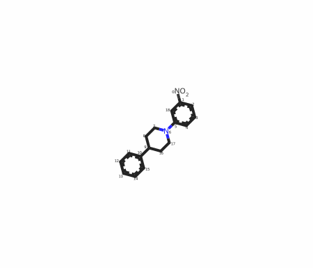 O=[N+]([O-])c1cccc(N2CCC(c3ccccc3)CC2)c1